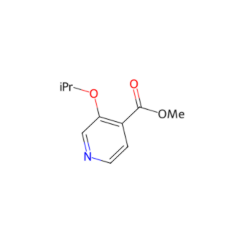 COC(=O)c1ccncc1OC(C)C